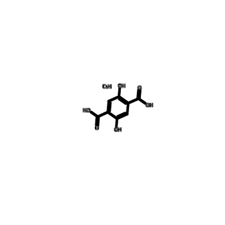 O=C(O)c1cc(O)c(C(=O)O)cc1O.[CsH]